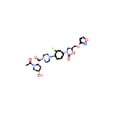 CC(=O)N1C[C@H](O)C[C@H]1C(=O)N1CCN(c2ccc(N3CC(COc4ccon4)OC3=O)cc2F)CC1